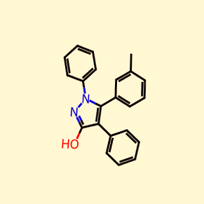 Cc1cccc(-c2c(-c3ccccc3)c(O)nn2-c2ccccc2)c1